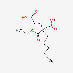 CCCCCC(CCC(=O)O)(C(=O)O)C(=O)OCC